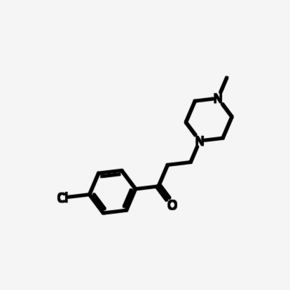 CN1CCN(CCC(=O)c2ccc(Cl)cc2)CC1